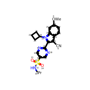 COc1ccc2c(C#N)c(-c3ncc(S(=O)(=O)NC(C)C)cn3)n(C3CCC3)c2c1